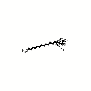 CCCCCCCCCCCCCCC(Cl)(Cl)C(Cl)(Cl)C(C)(Cl)C(=O)O